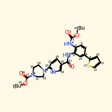 CC(C)(C)OC(=O)Nc1ccc(-c2cccs2)cc1NC(=O)c1ccc(N2CCN(C(=O)OC(C)(C)C)CC2)nc1